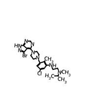 Cc1c(NCCN(C)C(C)C)cc(Cl)cc1N1CCN(c2ncnc3[nH]nc(Br)c23)CC1